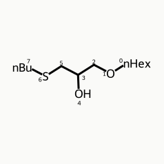 CCCCCCOCC(O)CSCCCC